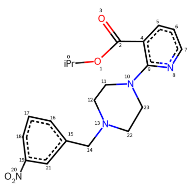 CC(C)OC(=O)c1cccnc1N1CCN(Cc2cccc([N+](=O)[O-])c2)CC1